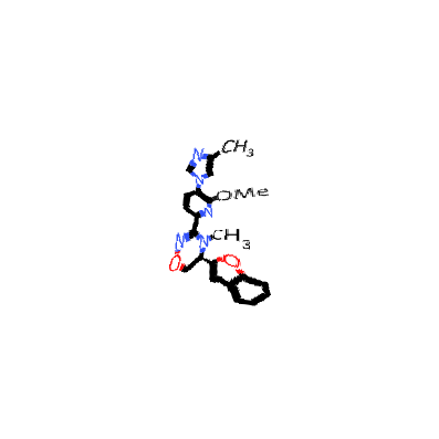 COc1nc(C2=NOC[C@H](c3cc4ccccc4o3)N2C)ccc1-n1cnc(C)c1